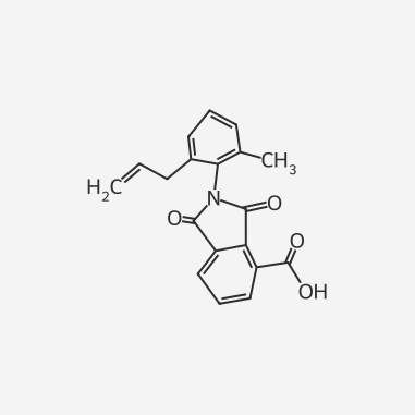 C=CCc1cccc(C)c1N1C(=O)c2cccc(C(=O)O)c2C1=O